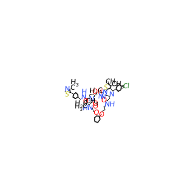 Cc1ncsc1-c1ccc(CNC(=O)[C@@H]2C[C@@H](O)CN2C(=O)C(NC(=O)COc2ccccc2OCCCNC(=O)C[C@@H]2N=C(c3ccc(Cl)cc3)c3c(sc(C)c3C)-n3c(C)nnc32)C(C)(C)C)cc1